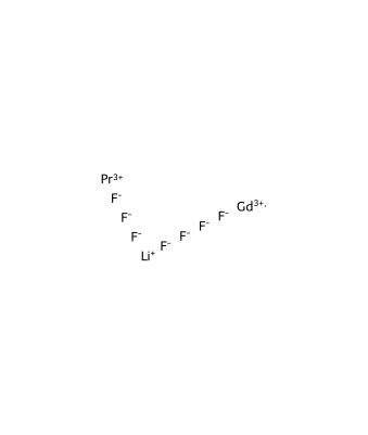 [F-].[F-].[F-].[F-].[F-].[F-].[F-].[Gd+3].[Li+].[Pr+3]